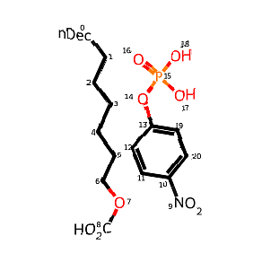 CCCCCCCCCCCCCCCCOC(=O)O.O=[N+]([O-])c1ccc(OP(=O)(O)O)cc1